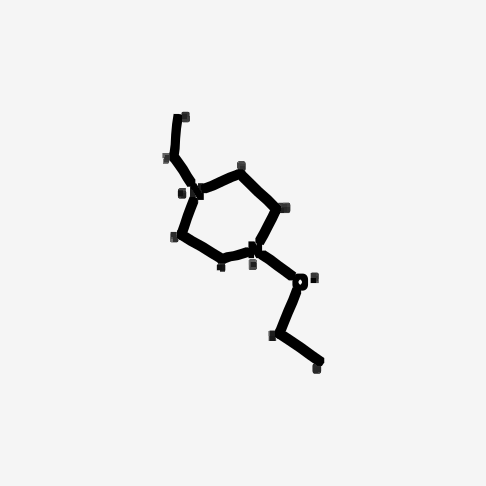 CCON1CCN(CC)CC1